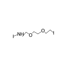 ICCOCCOCCNI